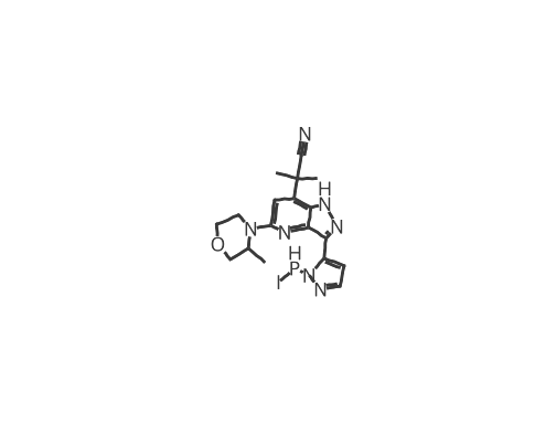 CC1COCCN1c1cc(C(C)(C)C#N)c2[nH]nc(-c3ccnn3PI)c2n1